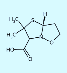 CC1(C)S[C@@H]2CCON2C1C(=O)O